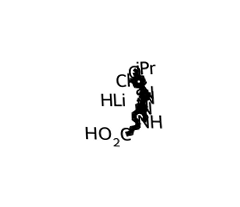 CC(C)Oc1ccc(-c2nnc(-n3cc4c(n3)CNC(CCCC(=O)O)CC4)s2)cc1Cl.[LiH]